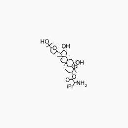 CC(C)C(N)C(=O)O[C@H]1CC[C@]23CC24CC[C@]2(C)[C@@H](C5CC[C@@H](C(C)(C)O)O5)[C@@H](O)C[C@@]2(C)C4C[C@H](O)[C@H]3C1(C)C